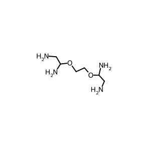 NCC(N)OCCOC(N)CN